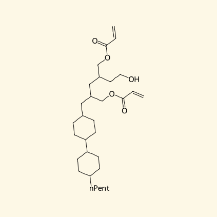 C=CC(=O)OCC(CCO)CC(COC(=O)C=C)CC1CCC(C2CCC(CCCCC)CC2)CC1